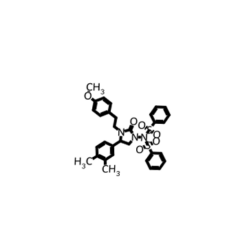 COc1ccc(CCN2C(=O)N(N(S(=O)(=O)c3ccccc3)S(=O)(=O)c3ccccc3)CC2c2ccc(C)c(C)c2)cc1